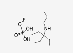 CCCNC(CC)(CC)CC.O=P(O)(O)OF